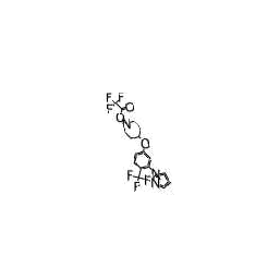 O=C(ON1CCC(Oc2ccc(C(F)(F)F)c(-n3cccn3)c2)CC1)C(F)(F)F